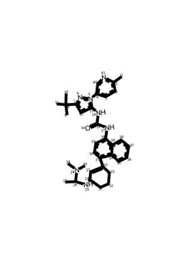 Cc1ccc(-n2nc(C(C)(C)C)cc2NC(=O)Nc2ccc(C3=CC(NC(C)N(C)C)CCC3)c3ccccc23)cn1